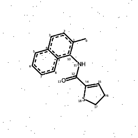 Cc1ccc2ccccc2c1NC(=O)C1=CCCS1